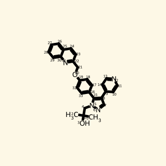 CC(C)(O)Cn1ncc(-c2ccncc2)c1-c1ccc(OCc2ccc3ccccc3n2)cc1